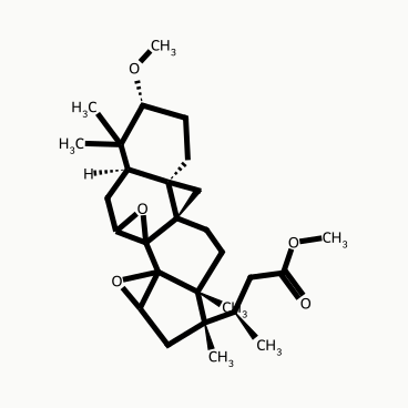 COC(=O)C[C@@H](C)[C@]1(C)CC2OC23C24OC2C[C@H]2C(C)(C)[C@H](OC)CC[C@@]25C[C@@]45CC[C@@]31C